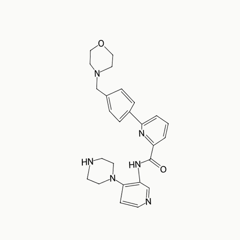 O=C(Nc1cnccc1N1CCNCC1)c1cccc(-c2ccc(CN3CCOCC3)cc2)n1